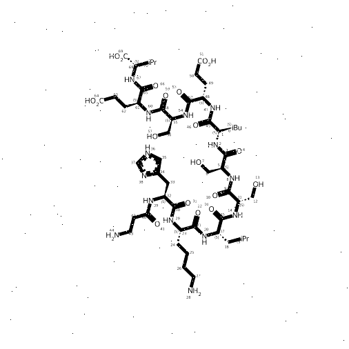 CC[C@H](C)[C@H](NC(=O)[C@H](CO)NC(=O)[C@H](CO)NC(=O)[C@H](CC(C)C)NC(=O)[C@H](CCCCN)NC(=O)[C@H](Cc1c[nH]cn1)NC(=O)CCN)C(=O)N[C@@H](CCC(=O)O)C(=O)N[C@@H](CO)C(=O)N[C@@H](CCC(=O)O)C(=O)N[C@H](C(=O)O)C(C)C